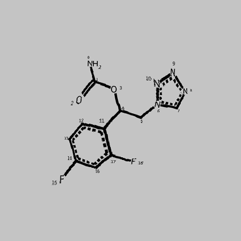 NC(=O)OC(Cn1cnnn1)c1ccc(F)cc1F